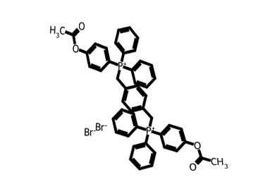 CC(=O)Oc1ccc([P+](Cc2ccc(C[P+](c3ccccc3)(c3ccccc3)c3ccc(OC(C)=O)cc3)cc2)(c2ccccc2)c2ccccc2)cc1.[Br-].[Br-]